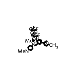 CNC1CCC(NCc2cc(-c3ccc(C)nc3)ccc2OC)CC1.O=C(O)C(F)(F)F.O=C(O)C(F)(F)F